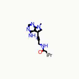 CC(C)CC(=O)NCC#Cc1cn(C)c2ncnc(N)c12